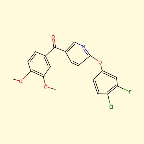 COc1ccc(C(=O)c2ccc(Oc3ccc(Cl)c(F)c3)nc2)cc1OC